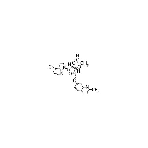 CC1(C)O[C@@H]2[C@H](O1)[C@@H](COc1ccc3ccc(C(F)(F)F)nc3c1)O[C@H]2n1ccc2c(Cl)ncnc21